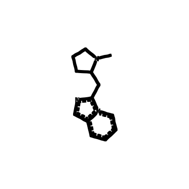 CN1CCCC1Cc1ncc2ccccn12